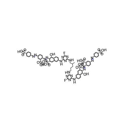 CC(CCCNc1nc(F)nc(Nc2ccc3c(O)c(/N=N/c4ccc(/N=N/c5ccc(S(=O)(=O)O)cc5)cc4S(=O)(=O)O)c(S(=O)(=O)O)cc3c2)n1)CNc1nc(F)nc(Nc2ccc3c(O)c(/N=N/c4ccc(/N=N/c5ccc(S(=O)(=O)O)cc5)cc4S(=O)(=O)O)c(S(=O)(=O)O)cc3c2)n1